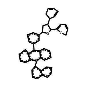 C1=CCCC(C2SC(c3cccc(-c4c5ccccc5c(-c5cccc6ccccc56)c5ccccc45)c3)CC2C2C=CC=CC2)=C1